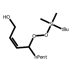 CCCCCC(/C=C\CO)OO[Si](C)(C)C(C)(C)C